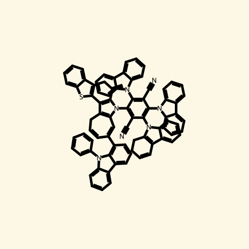 C=C1Cc2c(sc3ccccc23)-c2c3c(n(-c4c(C#N)c(-n5c6c(c7ccccc75)C=CCC6)c(-n5c6ccccc6c6ccccc65)c(C#N)c4-n4c5ccccc5c5ccccc54)c21)C=C(c1cccc2c4ccccc4n(-c4ccccc4)c12)C=CC3